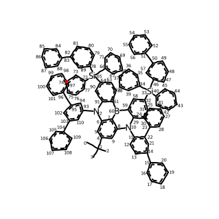 CC(C)(C)c1cc2c3c(c1)N(c1ccc(-c4ccccc4)cc1-c1ccccc1)c1ccc([Si](c4ccccc4)(c4ccccc4)c4cccc(-c5ccccc5)c4)cc1B3c1ccc([Si](c3ccccc3)(c3ccccc3)c3cccc(-c4ccccc4)c3)cc1N2c1cc(-c2ccccc2)cc(-c2ccccc2)c1